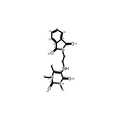 Cc1c(NCCN2C(=O)c3ccccc3C2=O)c(=O)n(C)c(=O)n1C